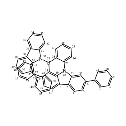 c1ccc(-c2ccc3c4ccc(-c5ccccc5)c5c4n(c3c2)-c2ccccc2B5n2c3ccccc3c3cccc(-c4ccccc4)c32)cc1